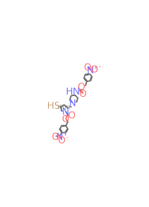 O=C(NC1CCN(C[C@@H]2C[C@H](S)CN2C(=O)OCc2ccc([N+](=O)[O-])cc2)CC1)OCc1ccc([N+](=O)[O-])cc1